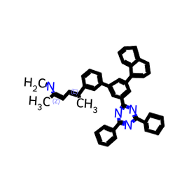 C=N/C(C)=C\C=C(/C)c1cccc(-c2cc(-c3nc(-c4ccccc4)nc(-c4ccccc4)n3)cc(-c3cccc4ccccc34)c2)c1